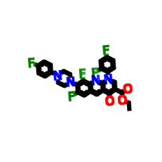 CCOC(=O)c1cn(-c2ccc(F)cc2F)c2nc3c(F)c(N4CCN(c5ccc(F)cc5)CC4)c(F)cc3cc2c1=O